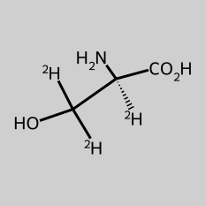 [2H]C([2H])(O)[C@@]([2H])(N)C(=O)O